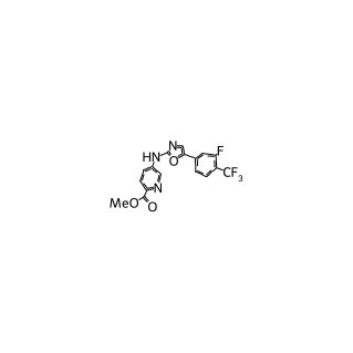 COC(=O)c1ccc(Nc2ncc(-c3ccc(C(F)(F)F)c(F)c3)o2)cn1